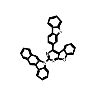 c1ccc2cc3c(cc2c1)c1ccccc1n3-c1nc(-c2ccc3c(c2)sc2ccccc23)c2c(n1)oc1ccccc12